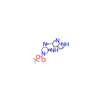 CC(C)(C)OC(=O)N1CCC[C@@H](Nc2c(C#N)cnc3[nH]ccc23)C1